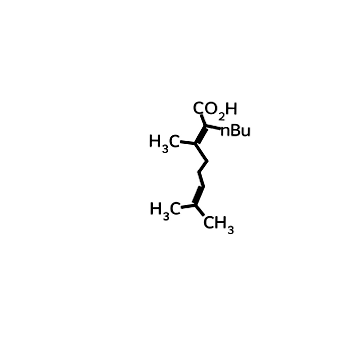 CCCC/C(C(=O)O)=C(/C)CCC=C(C)C